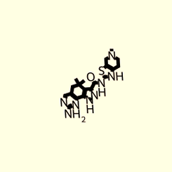 CN1CCC2=C(C1)SC(NC(=O)c1n[nH]c3c1C(C)(C)Cc1cnc(N)nc1-3)N2